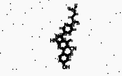 Cc1c(C#N)c(-c2ccc(O)cc2F)nc2[nH]nc(-c3ccc(N(C)CCN(C)C)nc3)c12